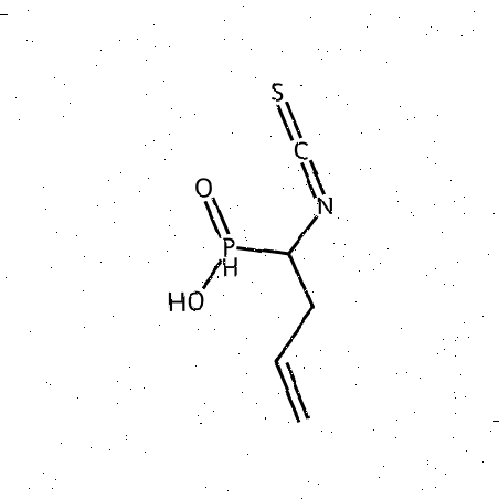 C=CCC(N=C=S)[PH](=O)O